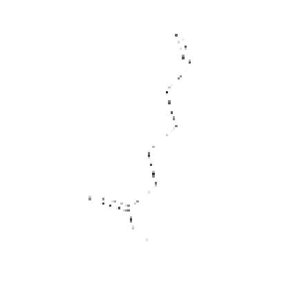 C=CCCCCC(=O)C(C)C